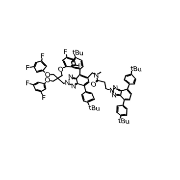 CN(Cc1cc(-c2ccc(C(C)(C)C)cc2)c2nn(CC(COc3cc(F)cc(F)c3)(COc3cc(F)cc(F)c3)COc3cc(F)cc(F)c3)nc2c1-c1ccc(C(C)(C)C)cc1)C(=O)CCn1nc2c(-c3ccc(C(C)(C)C)cc3)ccc(-c3ccc(C(C)(C)C)cc3)c2n1